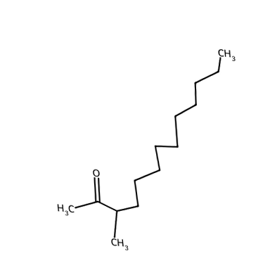 CCCCCCCCCCC(C)C(C)=O